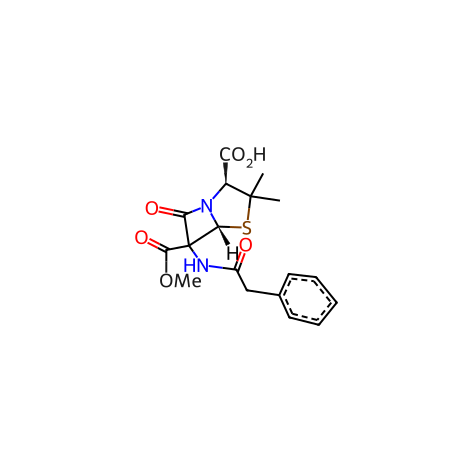 COC(=O)C1(NC(=O)Cc2ccccc2)C(=O)N2[C@@H](C(=O)O)C(C)(C)S[C@@H]21